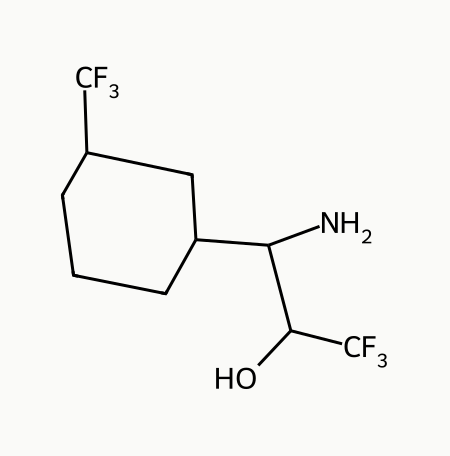 NC(C1CCCC(C(F)(F)F)C1)C(O)C(F)(F)F